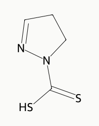 S=C(S)N1CCC=N1